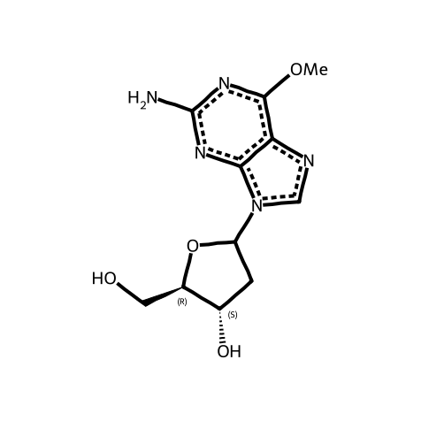 COc1nc(N)nc2c1ncn2C1C[C@H](O)[C@@H](CO)O1